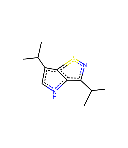 CC(C)c1nsc2c(C(C)C)c[nH]c12